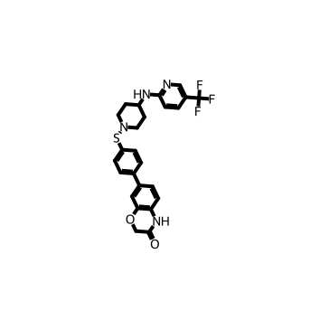 O=C1COc2cc(-c3ccc(SN4CCC(Nc5ccc(C(F)(F)F)cn5)CC4)cc3)ccc2N1